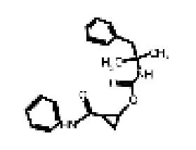 CC(C)(Cc1ccccc1)NC(=O)OC1CC1C(=O)Nc1ccccc1